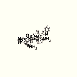 C#Cc1c(-c2cnc3ccccc3c2)c2c(N)ncnc2n1C12CCC(NC(=O)c3cn4ncnc4cc3C34CCC(N)(CC3)C4)(CC1)C2